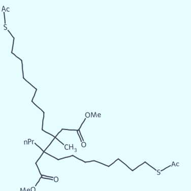 CCCC(CCCCCCCCSC(C)=O)(CC(=O)OC)C(C)(CCCCCCCCSC(C)=O)CC(=O)OC